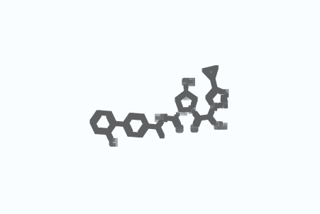 CC(NC(=O)[C@@H]1C[C@@H](O)CN1C(=O)C(n1cc(C2CC2)nn1)C(C)(C)C)c1ccc(-c2ccccc2Cl)cc1